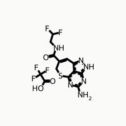 Nc1nc2c3c(n[nH]c3n1)C=C(C(=O)NCC(F)F)CS2.O=C(O)C(F)(F)F